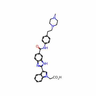 CN1CCN(CCc2ccc(NC(=O)c3ccc4nc(-c5cn(CC(=O)O)c6ccccc56)[nH]c4c3)cc2)CC1